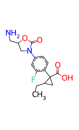 CCC1CC1(C(=O)O)c1ccc(N2CC(CN)OC2=O)cc1F